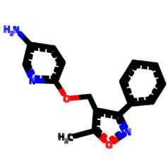 Cc1onc(-c2ccccc2)c1COc1ccc(N)cn1